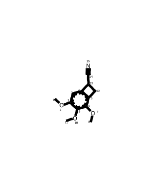 COc1cc2c(c(OC)c1OC)CC2C#N